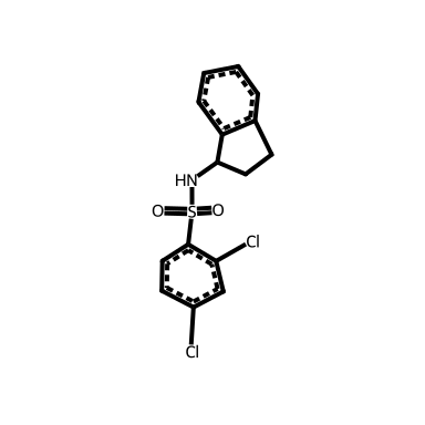 O=S(=O)(NC1CCc2ccccc21)c1ccc(Cl)cc1Cl